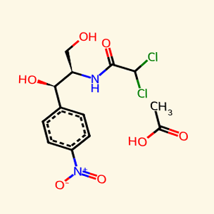 CC(=O)O.O=C(N[C@H](CO)[C@H](O)c1ccc([N+](=O)[O-])cc1)C(Cl)Cl